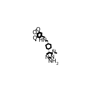 COc1cc(CNC[C@H]2CC[C@@H](c3cnc(N)nc3N(C)C)CC2)cc2c1OCO2